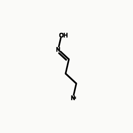 [N]CCC=NO